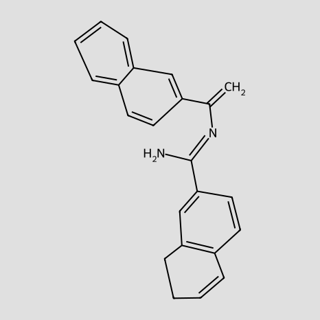 C=C(/N=C(\N)c1ccc2c(c1)CCC=C2)c1ccc2ccccc2c1